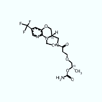 C[C@@H](COCCC(=O)N1CCN2c3ncc(C(F)(F)F)cc3OC[C@@H]2C1)OC(N)=O